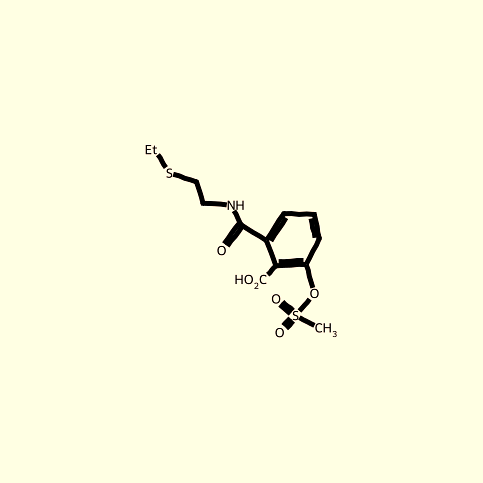 CCSCCNC(=O)c1cccc(OS(C)(=O)=O)c1C(=O)O